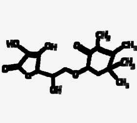 CC1=C(C)C(C)(C)CC(OCC(O)C2OC(=O)C(O)=C2O)C1=O